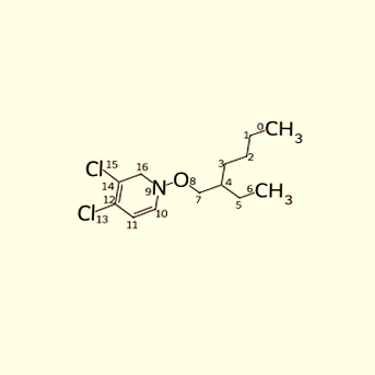 CCCCC(CC)CON1C=CC(Cl)=C(Cl)C1